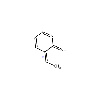 C/C=C1/C=CC=NC1=N